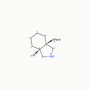 CCCCC[C@]12CCCC[C@H]1CNC2